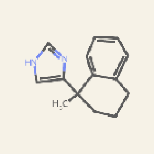 CC1(c2c[nH]cn2)CCCc2ccccc21